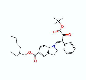 CCCCC(CC)COC(=O)c1ccc2c(c1)CCN2/C=C(/C(=O)C(=O)OC(C)(C)C)c1ccccc1